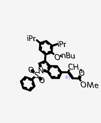 CCCCOc1c(-c2cn(S(=O)(=O)c3ccccc3)c3ccc(/C(C)=C/C(=O)OC)cc23)cc(C(C)C)cc1C(C)C